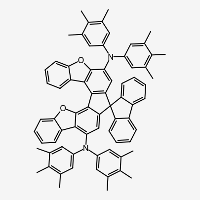 Cc1cc(N(c2cc(C)c(C)c(C)c2)c2cc3c(c4c2oc2ccccc24)-c2c(cc(N(c4cc(C)c(C)c(C)c4)c4cc(C)c(C)c(C)c4)c4c2oc2ccccc24)C32c3ccccc3-c3ccccc32)cc(C)c1C